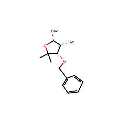 CC(=O)O[C@H]1OC(C)(C)[C@@H](OCc2ccccc2)[C@H]1OC(C)=O